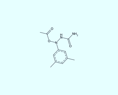 CC(=O)ON(NC(N)=O)c1cc(C)cc(C)c1